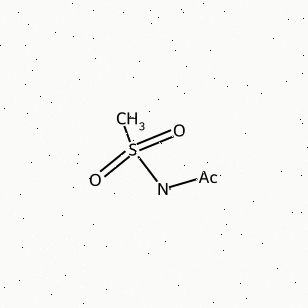 CC(=O)[N]S(C)(=O)=O